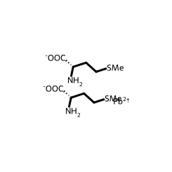 CSCC[C@H](N)C(=O)[O-].CSCC[C@H](N)C(=O)[O-].[Pb+2]